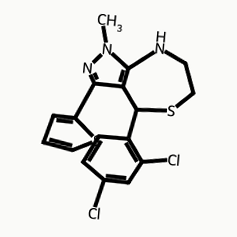 Cn1nc(-c2cccs2)c2c1NCCSC2c1ccc(Cl)cc1Cl